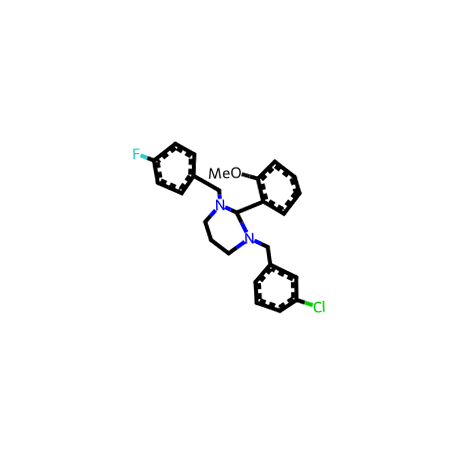 COc1ccccc1C1N(Cc2ccc(F)cc2)CCCN1Cc1cccc(Cl)c1